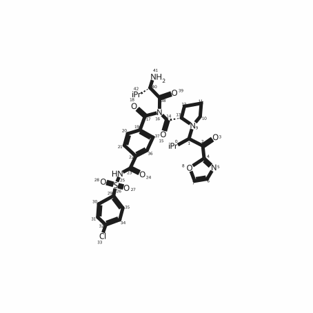 CC(C)C(C(=O)c1ncco1)N1CCC[C@H]1C(=O)N(C(=O)c1ccc(C(=O)NS(=O)(=O)c2ccc(Cl)cc2)cc1)C(=O)[C@@H](N)C(C)C